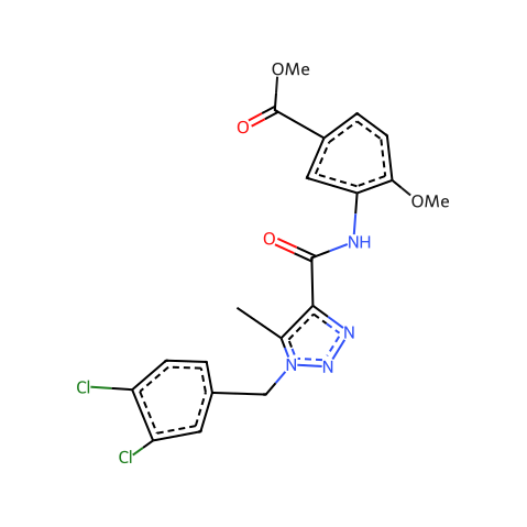 COC(=O)c1ccc(OC)c(NC(=O)c2nnn(Cc3ccc(Cl)c(Cl)c3)c2C)c1